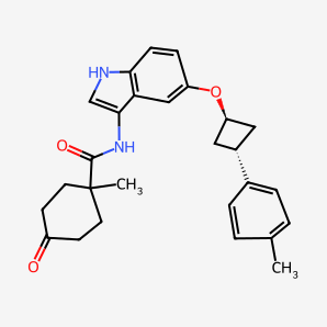 Cc1ccc([C@H]2C[C@H](Oc3ccc4[nH]cc(NC(=O)C5(C)CCC(=O)CC5)c4c3)C2)cc1